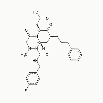 CN1CC(=O)N2[C@@H](CC(=O)O)C(=O)C(CCCc3ccccc3)C[C@@H]2N1C(=O)NCc1ccc(F)cc1